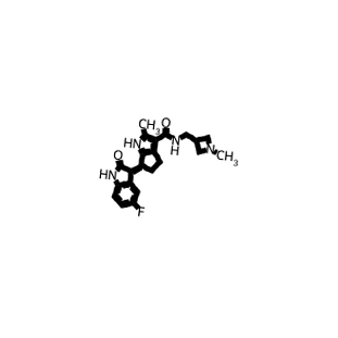 Cc1[nH]c2c(c1C(=O)NCC1CN(C)C1)CC/C2=C1/C(=O)Nc2ccc(F)cc21